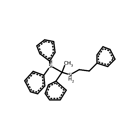 CC([SiH2]CCc1ccccc1)(c1ccccc1)[SiH](c1ccccc1)c1ccccc1